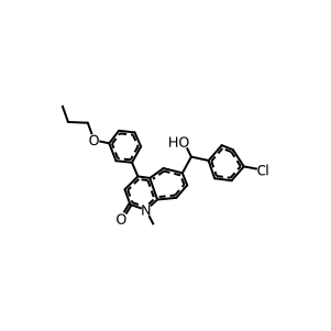 CCCOc1cccc(-c2cc(=O)n(C)c3ccc(C(O)c4ccc(Cl)cc4)cc23)c1